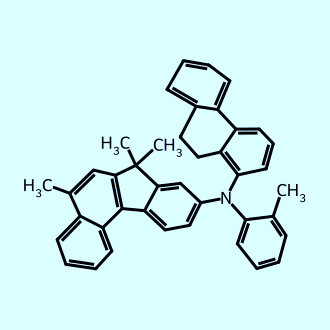 Cc1ccccc1N(c1ccc2c(c1)C(C)(C)c1cc(C)c3ccccc3c1-2)c1cccc2c1CCc1ccccc1-2